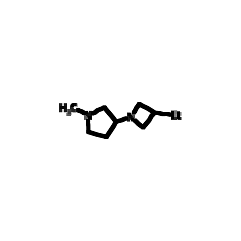 CCC1CN(C2CCN(C)C2)C1